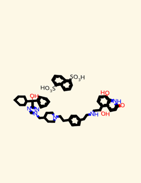 O=S(=O)(O)c1cccc2c(S(=O)(=O)O)cccc12.O=c1ccc2c([C@@H](O)CNCCc3ccc(CCN4CCC(Cn5cnc([C@](O)(c6ccccc6)C6CCCCC6)n5)CC4)cc3)ccc(O)c2[nH]1